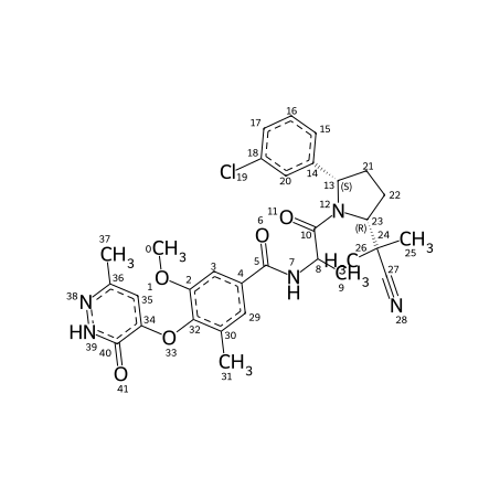 COc1cc(C(=O)NC(C)C(=O)N2[C@H](c3cccc(Cl)c3)CC[C@@H]2C(C)(C)C#N)cc(C)c1Oc1cc(C)n[nH]c1=O